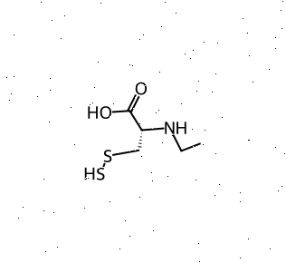 CCN[C@H](CSS)C(=O)O